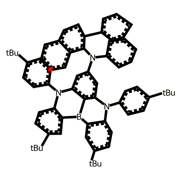 CC(C)(C)c1ccc(N2c3ccc(C(C)(C)C)cc3B3c4cc(C(C)(C)C)ccc4N(c4ccc(C(C)(C)C)cc4)c4cc(N(c5ccccc5)c5c(-c6ccccc6)ccc6ccccc56)cc2c43)cc1